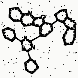 c1ccc(-c2nc(-c3ccccc3)nc(-c3ccc(-c4cccc5sc6ccccc6c45)c4oc5nc6ccccc6cc5c34)n2)cc1